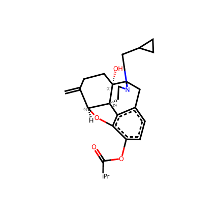 C=C1CC[C@@]2(O)C3Cc4ccc(OC(=O)C(C)C)c5c4[C@@]2(CCN3CC2CC2)[C@H]1O5